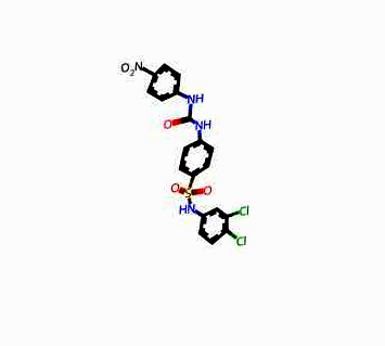 O=C(Nc1ccc([N+](=O)[O-])cc1)Nc1ccc(S(=O)(=O)Nc2ccc(Cl)c(Cl)c2)cc1